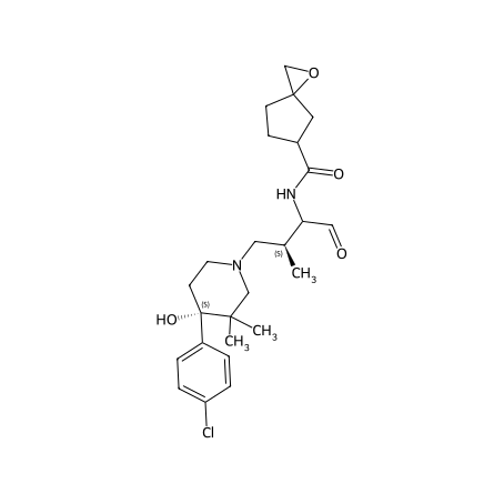 C[C@@H](CN1CC[C@](O)(c2ccc(Cl)cc2)C(C)(C)C1)C(C=O)NC(=O)C1CCC2(CO2)C1